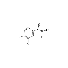 CCN(CC)C(=O)c1c[n+]([O-])c(C)cn1